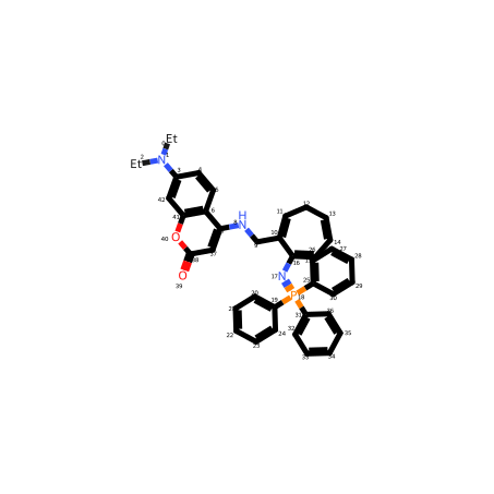 CCN(CC)c1ccc2c(NCC3=CCC=CC=C3N=P(c3ccccc3)(c3ccccc3)c3ccccc3)cc(=O)oc2c1